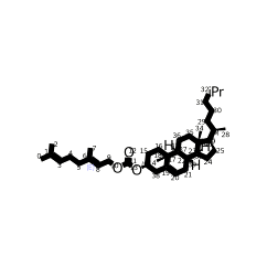 CC(C)=CCC/C(C)=C/COC(=O)O[C@H]1CC[C@@]2(C)C(=CC[C@H]3[C@@H]4CC[C@H]([C@H](C)CCCC(C)C)[C@@]4(C)CC[C@@H]32)C1